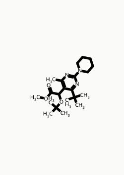 COC(=O)C(OC(C)(C)C)c1c(C)nc(N2CCCCC2)nc1C(C)(C)C